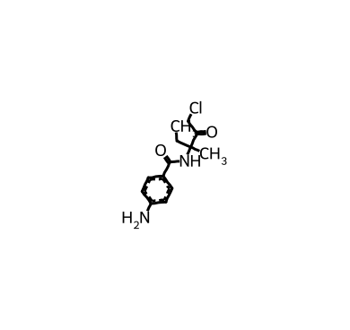 CCC(C)(NC(=O)c1ccc(N)cc1)C(=O)CCl